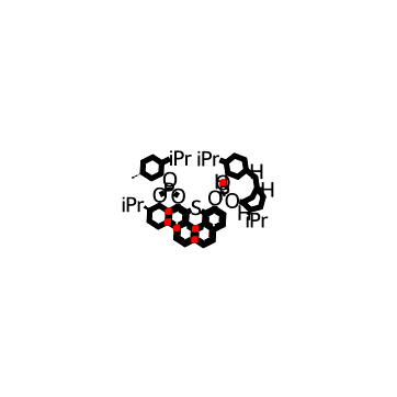 CC(C)C1CC[C@@H](C)C[C@H]1OP(Oc1ccc2ccccc2c1Sc1c(OP2O[C@@H]3C[C@@H](CCC3C(C)C)C[C@@H]3CC[C@@H](C(C)C)[C@@H](C3)O2)ccc2ccccc12)O[C@@H]1C[C@H](C)CC[C@H]1C(C)C